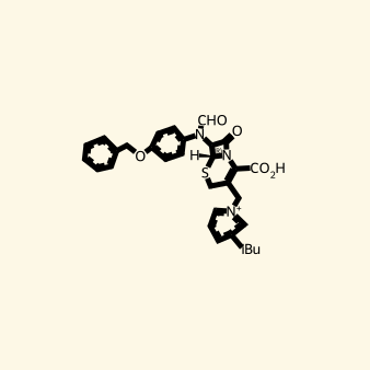 CCC(C)c1ccc[n+](CC2=C(C(=O)O)N3C(=O)C(N(C=O)c4ccc(OCc5ccccc5)cc4)[C@H]3SC2)c1